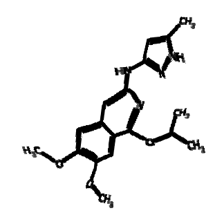 COc1cc2cc(Nc3cc(C)[nH]n3)nc(OC(C)C)c2cc1OC